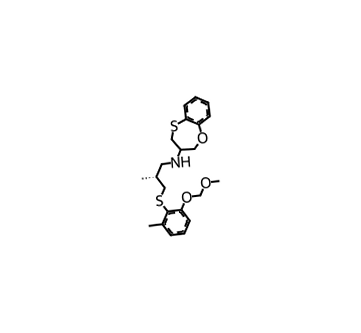 COCOc1cccc(C)c1SC[C@H](C)CNC1COc2ccccc2SC1